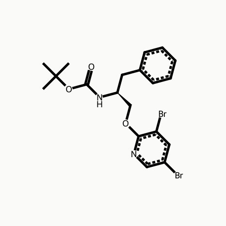 CC(C)(C)OC(=O)N[C@H](COc1ncc(Br)cc1Br)Cc1ccccc1